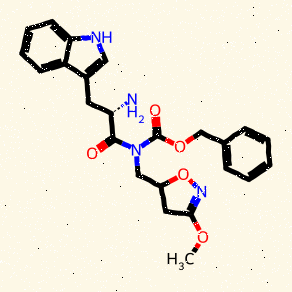 COC1=NOC(CN(C(=O)OCc2ccccc2)C(=O)[C@@H](N)Cc2c[nH]c3ccccc23)C1